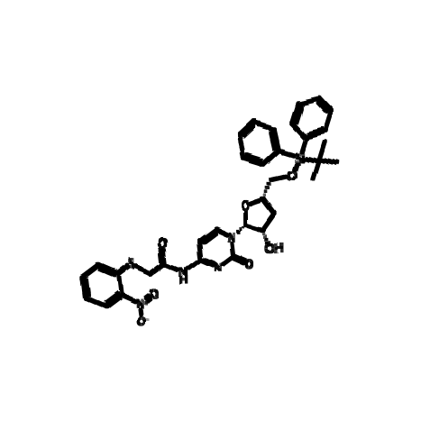 CC(C)(C)[Si](OC[C@@H]1C[C@H](O)[C@H](n2ccc(NC(=O)CSc3ccccc3[N+](=O)[O-])nc2=O)O1)(c1ccccc1)c1ccccc1